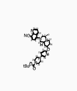 C[C@@H]1CN(c2ccc(C#N)c3ncccc23)C[C@@H]2CC(Oc3ccc(N4CCN(C(=O)OC(C)(C)C)CC4)cn3)CCN21